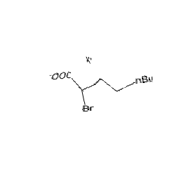 CCCCCCC(Br)C(=O)[O-].[K+]